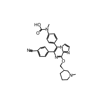 CN1CCC[C@@H](COc2nc(-c3ccc(C#N)cc3)c(-c3ccc(N(C)C(=O)O)cc3)n3ccnc23)C1